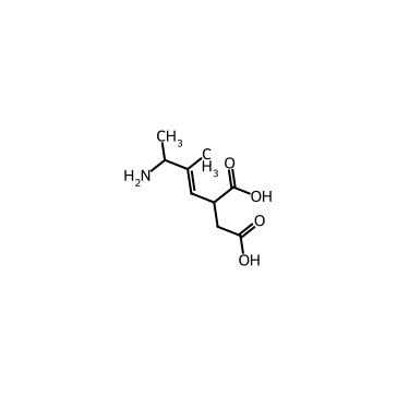 C/C(=C\C(CC(=O)O)C(=O)O)C(C)N